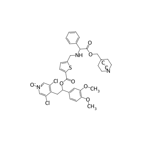 COc1ccc(C(Cc2c(Cl)c[n+]([O-])cc2Cl)OC(=O)c2ccc(CNC(C(=O)OCC34CCN(CC3)CC4)c3ccccc3)s2)cc1OC